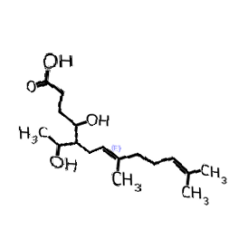 CC(C)=CCC/C(C)=C/CC(C(C)O)C(O)CCC(=O)O